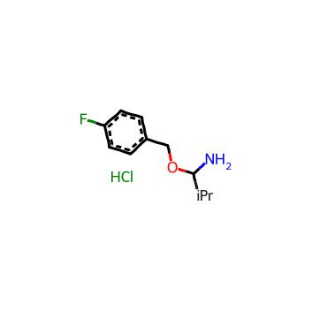 CC(C)C(N)OCc1ccc(F)cc1.Cl